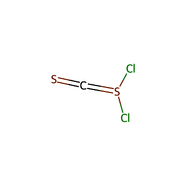 S=C=S(Cl)Cl